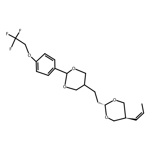 C/C=C\[C@H]1CO[C@H](CCC2COC(c3ccc(OCC(F)(F)F)cc3)OC2)OC1